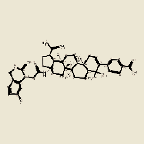 C=C(C)[C@@H]1CC[C@]2(NC(=O)CN3C(=O)OCc4ccc(Cl)cc43)CC[C@]3(C)[C@H](CCC4[C@@]5(C)CC=C(c6ccc(C(=O)O)cc6)C(C)(C)C5CC[C@]43C)C12